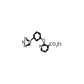 CCOC(=O)c1cccnc1Oc1cccc(-n2cnnn2)c1